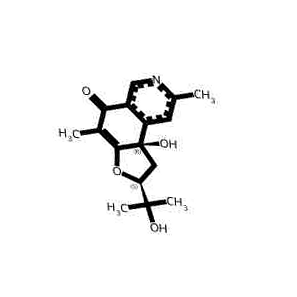 CC1=C2O[C@H](C(C)(C)O)C[C@@]2(O)c2cc(C)ncc2C1=O